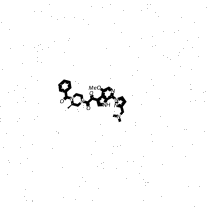 COc1cnc(-n2ccc(CN(C)C)n2)c2[nH]cc(C(=O)C(=O)N3CCN(C(=O)c4ccccc4)[C@H](C)C3)c12